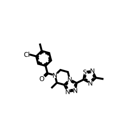 Cc1nsc(-c2nnc3n2CCN(C(=O)c2ccc(C)c(Cl)c2)C3C)n1